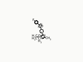 Cc1cnc(OC(C)(C)C)c(N2CCC(c3nc(-c4ccc(F)cc4)no3)CC2)n1